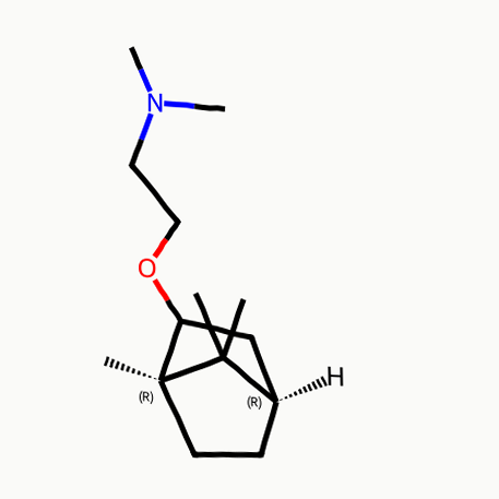 CN(C)CCOC1C[C@H]2CC[C@]1(C)C2(C)C